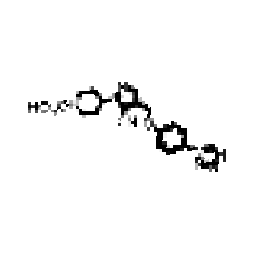 N#Cc1c(COc2ccc(-n3cnnn3)cc2)cnn1C1CCN(C(=O)O)CC1